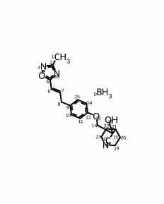 B.Cc1noc(C=CCc2ccc(OCC3(O)CN4CCC3CC4)cc2)n1